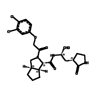 O=C[C@H](C[C@@H]1CCNC1=O)NC(=O)[C@@H]1[C@H]2CCC[C@H]2CN1C(=O)COc1ccc(Cl)c(Cl)c1